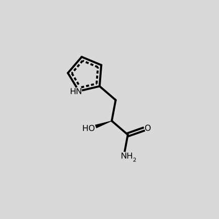 NC(=O)[C@@H](O)Cc1ccc[nH]1